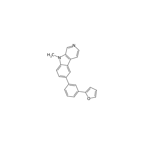 Cn1c2ccc(-c3cccc(-c4ccco4)c3)cc2c2ccncc21